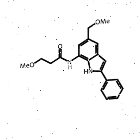 COCCC(=O)Nc1cc(COC)cc2cc(-c3ccccc3)[nH]c12